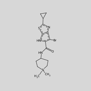 C[Si]1(C)CCC(NC(=O)c2[nH]c3sc(C4CC4)nc3c2Br)CC1